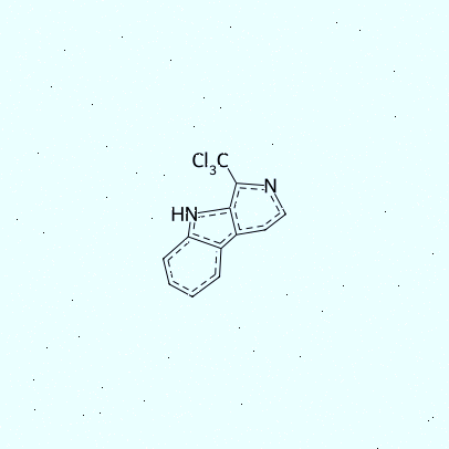 ClC(Cl)(Cl)c1nccc2c1[nH]c1ccccc12